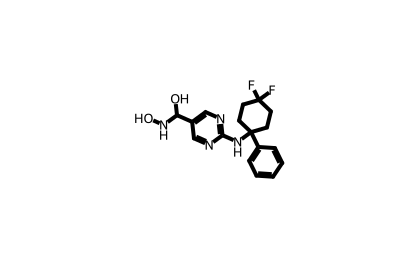 ONC(O)c1cnc(NC2(c3ccccc3)CCC(F)(F)CC2)nc1